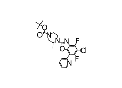 CC1CN(C(=O)OC(C)(C)C)CCN1c1nc2c(F)c(Cl)c(F)c(-c3ccccn3)c2o1